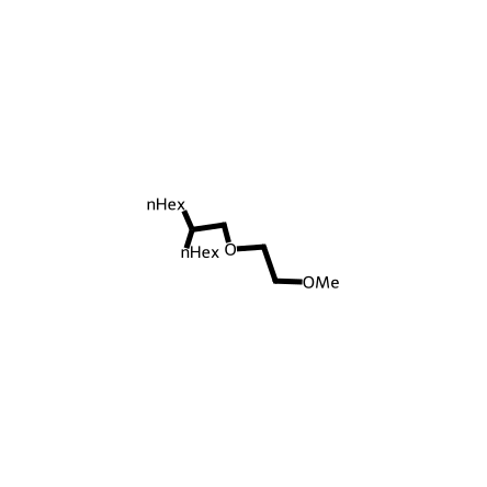 CCCCCCC(CCCCCC)COCCOC